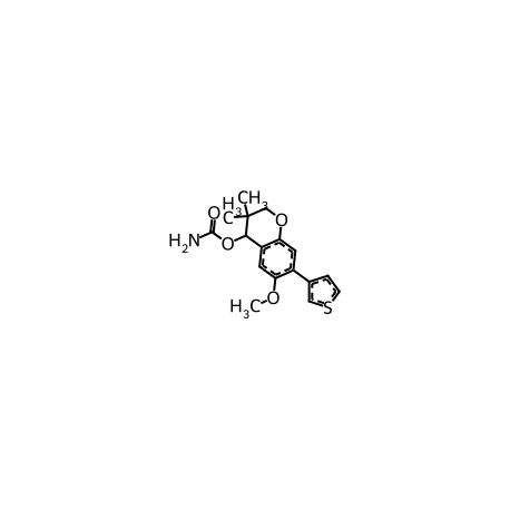 COc1cc2c(cc1-c1ccsc1)OCC(C)(C)C2OC(N)=O